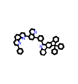 C1=CC2=NC(c3cccc(-c4ccc(-c5ccc6ccc7ccc(-c8ccccc8)nc7c6n5)c5cccnc45)c3)=C3C=C4C(=CC3C2CC1)C(c1ccccc1)(c1ccccc1)c1ccccc14